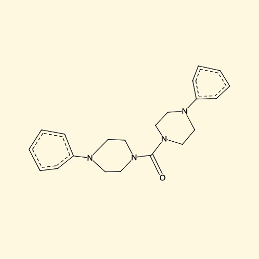 O=C(N1CCN(c2ccccc2)CC1)N1CCN(c2ccccc2)CC1